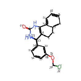 O=C1NC2=C(CCc3ccccc32)C(c2cccc(OCCl)c2)N1